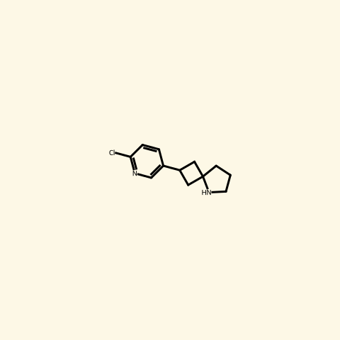 Clc1ccc(C2CC3(CCCN3)C2)cn1